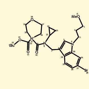 COCCCn1cc(CN(C(=O)[N+]2(C(=O)OC(C)(C)C)CCOCC2)C2CC2)c2ccc(Br)cc21